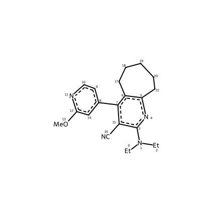 CCN(CC)c1nc2c(c(-c3ccnc(OC)c3)c1C#N)CCCCC2